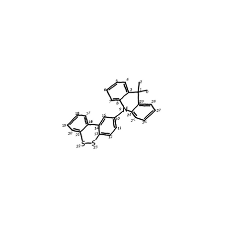 CC1(C)c2ccccc2N(c2ccc3c(c2)-c2ccccc2SS3)c2ccccc21